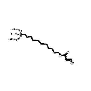 CC=CC(=O)OCCCCCCCCCCC[Si](C)(OCCCCCC)OCCCCCC